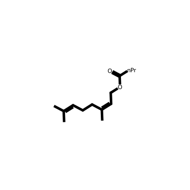 CCCC(=O)OC/C=C(/C)CCC=C(C)C